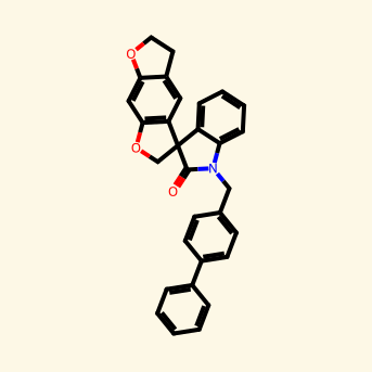 O=C1N(Cc2ccc(-c3ccccc3)cc2)c2ccccc2C12COc1cc3c(cc12)CCO3